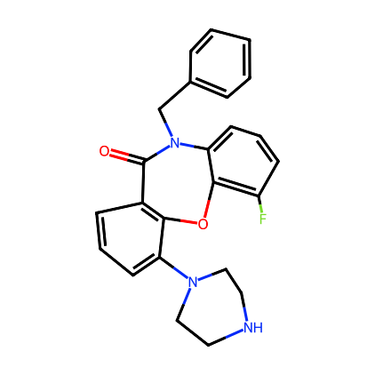 O=C1c2cccc(N3CCNCC3)c2Oc2c(F)cccc2N1Cc1ccccc1